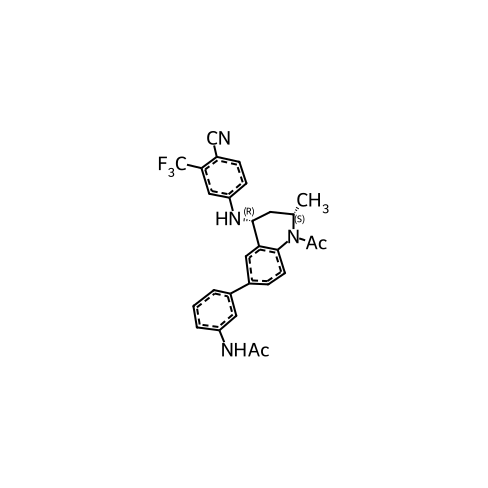 CC(=O)Nc1cccc(-c2ccc3c(c2)[C@H](Nc2ccc(C#N)c(C(F)(F)F)c2)C[C@H](C)N3C(C)=O)c1